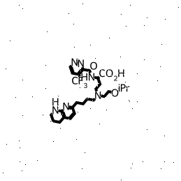 CC(C)OCCN(CCCCc1ccc2c(n1)NCCC2)CCC(NC(=O)c1nnccc1C(F)(F)F)C(=O)O